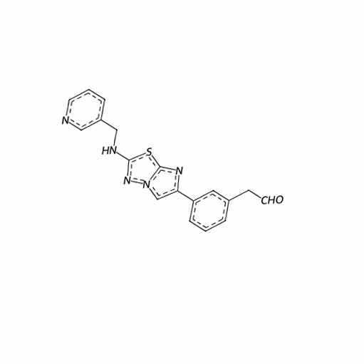 O=CCc1cccc(-c2cn3nc(NCc4cccnc4)sc3n2)c1